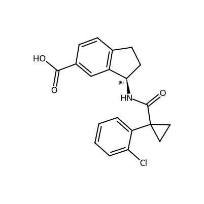 O=C(O)c1ccc2c(c1)[C@H](NC(=O)C1(c3ccccc3Cl)CC1)CC2